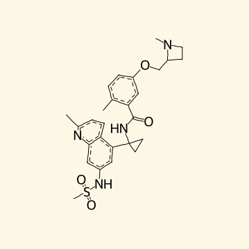 Cc1ccc2c(C3(NC(=O)c4cc(OCC5CCN5C)ccc4C)CC3)cc(NS(C)(=O)=O)cc2n1